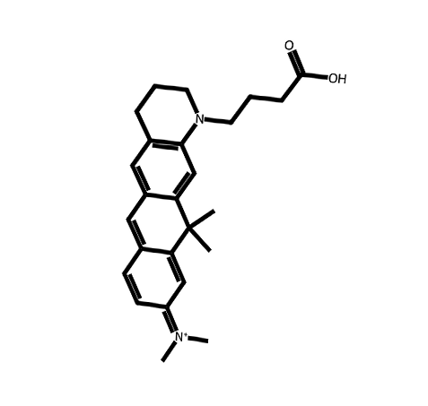 C[N+](C)=C1C=CC2=Cc3cc4c(cc3C(C)(C)C2=C1)N(CCCC(=O)O)CCC4